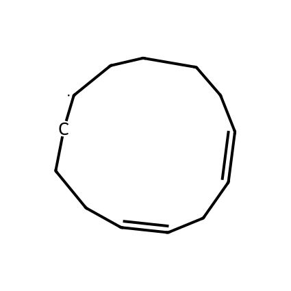 [CH]1CCCC=CCC=CCCCC1